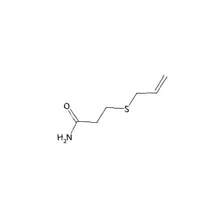 C=CCSCCC(N)=O